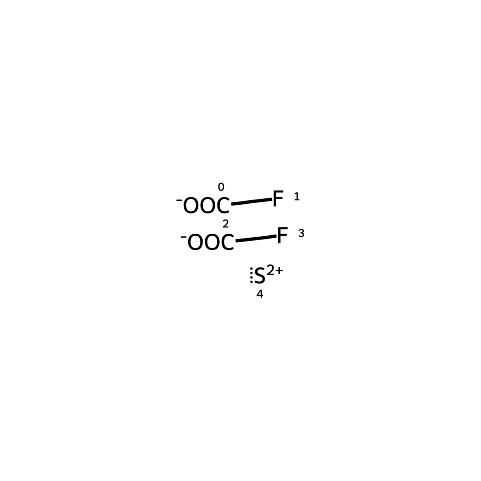 O=C([O-])F.O=C([O-])F.[S+2]